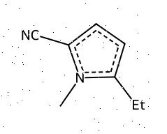 CCc1ccc(C#N)n1C